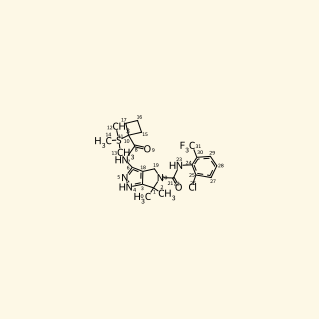 CC1(C)c2[nH]nc(NC(=O)C3(S(C)(C)C)CCC3)c2CN1C(=O)Nc1c(Cl)cccc1C(F)(F)F